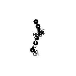 O=C(O)c1cccc(COC2CCN(c3ccc(NC(=O)c4oc(N5CCC(c6ccccc6)CC5)nc4C(F)(F)F)cn3)CC2)c1